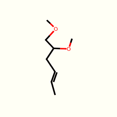 CC=CCC(COC)OC